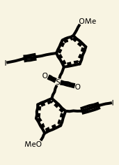 COc1ccc(S(=O)(=O)c2ccc(OC)cc2C#CI)c(C#CI)c1